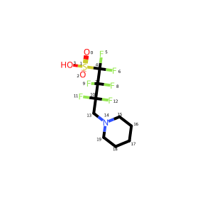 O=S(=O)(O)C(F)(F)C(F)(F)C(F)(F)CN1CCCCC1